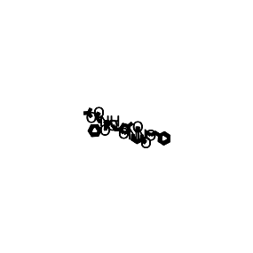 CC(C)OC(=O)CNP(OCC1CC(C)C(n2ccc(=O)n(COCc3ccccc3)c2=O)O1)Oc1ccccc1